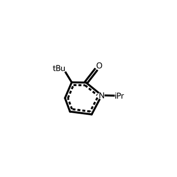 CC(C)n1cccc(C(C)(C)C)c1=O